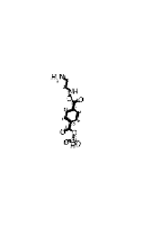 NCCNOC(=O)c1ccc(C(=O)O[SH](=O)=O)cc1